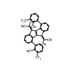 N#CC(C#N)=C1C2=C(C(=C(C#N)C#N)c3cccc(-c4cccc(C(F)(F)F)c4C#N)c32)c2c1cccc2-c1cccc(C(F)(F)F)c1C#N